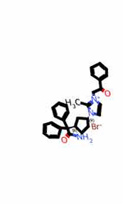 Cc1n([C@@H]2CC[C@@H](C(C(N)=O)(c3ccccc3)c3ccccc3)C2)cc[n+]1CC(=O)c1ccccc1.[Br-]